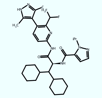 Cc1n[nH]c(C)c1-c1ccc(NC(=O)[C@@H](NC(=O)c2ccnn2C(C)C)C(C2CCCCC2)C2CCCCC2)nc1C(F)F